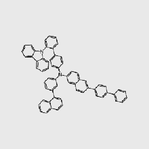 c1ccc(-c2ccc(-c3ccc4cc(N(c5ccc(-c6ccccc6-n6c7ccccc7c7ccccc76)cc5)c5cccc(-c6cccc7ccccc67)c5)ccc4c3)cc2)cc1